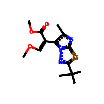 COC=C(C(=O)OC)c1c(C)nc2sc(C(C)(C)C)nn12